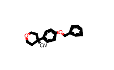 N#CC1(c2ccc(OCc3ccccc3)cc2)CCOCC1